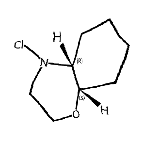 ClN1CCO[C@H]2CCCC[C@H]21